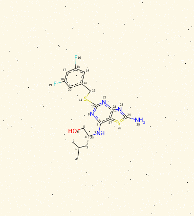 CC(C)C[C@H](CO)Nc1nc(SCc2cc(F)cc(F)c2)nc2nc(N)sc12